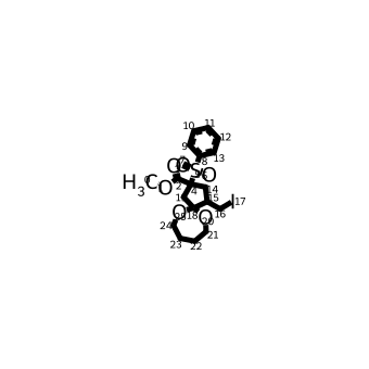 COC(=O)C1(S(=O)(=O)c2ccccc2)CC(CI)C2(C1)OCCCCO2